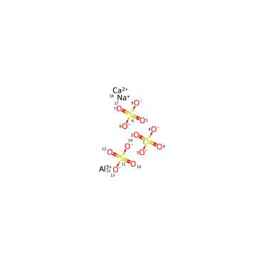 O=S(=O)([O-])[O-].O=S(=O)([O-])[O-].O=S(=O)([O-])[O-].[Al+3].[Ca+2].[Na+]